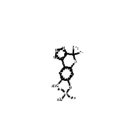 CCC[CH2][Sn]([CH2]CCC)([CH2]CCC)[O]c1cc2c(cc1OC)-c1[se]nnc1C(C)(C)O2